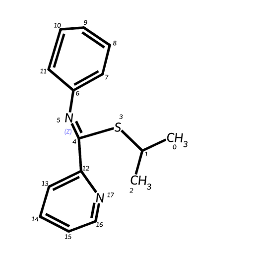 CC(C)S/C(=N\c1ccccc1)c1ccccn1